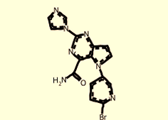 NC(=O)c1nc(-n2ccnc2)nc2ccn(-c3ccc(Br)nc3)c12